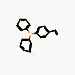 C=Cc1ccc(P(c2ccccc2)c2ccccc2)cc1.[S]